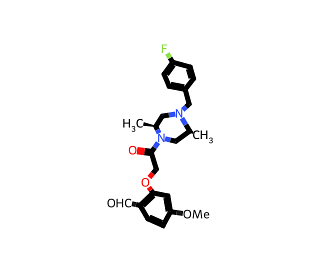 COc1ccc(C=O)c(OCC(=O)N2C[C@@H](C)N(Cc3ccc(F)cc3)C[C@@H]2C)c1